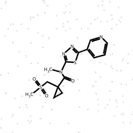 CN(C(=O)C1(CS(C)(=O)=O)CC1)c1nnc(-c2cccnc2)s1